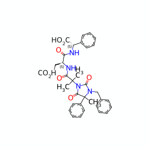 CC(C)(C(=O)N[C@@H](CC(=O)O)C(=O)N[C@H](C(=O)O)c1ccccc1)N1C(=O)N(Cc2ccccc2)C(C)(c2ccccc2)C1=O